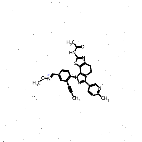 CC#Cc1cc(/C=N/OC)ccc1-n1nc(-c2ccc(C)nc2)c2c1-c1sc(NC(C)=O)nc1CC2